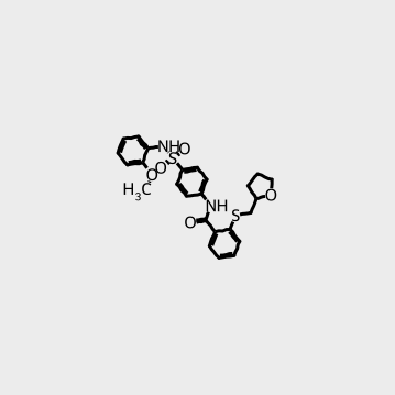 COc1ccccc1NS(=O)(=O)c1ccc(NC(=O)c2ccccc2SCC2CCCO2)cc1